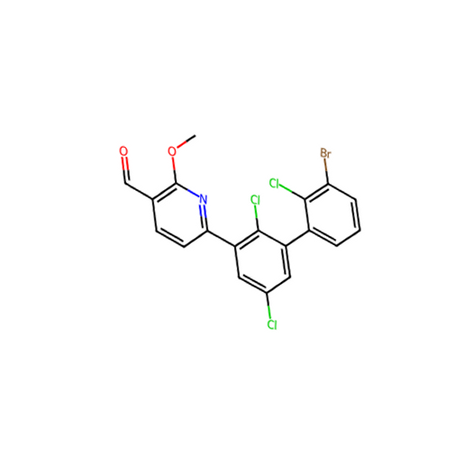 COc1nc(-c2cc(Cl)cc(-c3cccc(Br)c3Cl)c2Cl)ccc1C=O